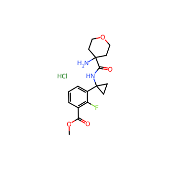 COC(=O)c1cccc(C2(NC(=O)C3(N)CCOCC3)CC2)c1F.Cl